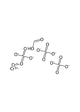 O=CO.O=S(=O)([O-])[O-].O=S(=O)([O-])[O-].O=S(=O)([O-])[O-].[Cr+3].[Cr+3]